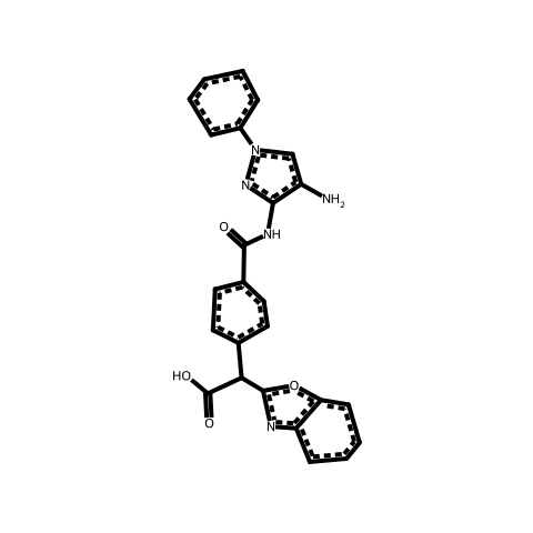 Nc1cn(-c2ccccc2)nc1NC(=O)c1ccc(C(C(=O)O)c2nc3ccccc3o2)cc1